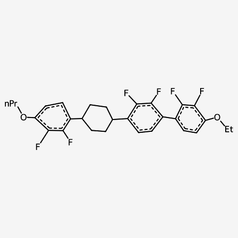 CCCOc1ccc(C2CCC(c3ccc(-c4ccc(OCC)c(F)c4F)c(F)c3F)CC2)c(F)c1F